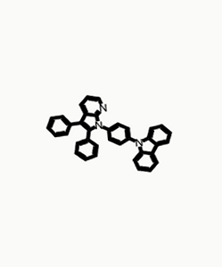 c1ccc(-c2c(-c3ccccc3)n(-c3ccc(-n4c5ccccc5c5ccccc54)cc3)c3ncccc23)cc1